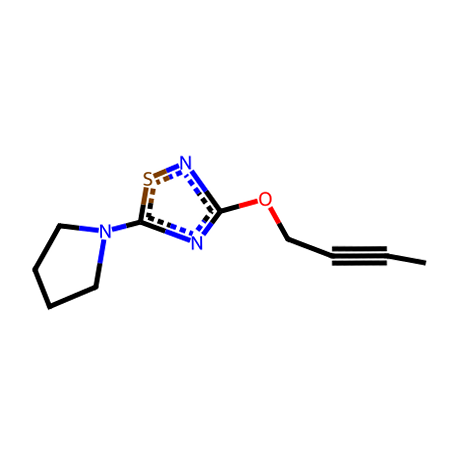 CC#CCOc1nsc(N2CCCC2)n1